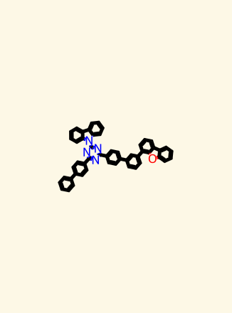 c1ccc(-c2ccc(-c3nc(-c4ccc(-c5cccc(-c6cccc7c6oc6ccccc67)c5)cc4)nc(-n4c5ccccc5c5ccccc54)n3)cc2)cc1